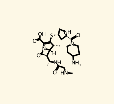 CNCC(=O)N[C@H](C)[C@H]1C(=O)N2C(C(=O)O)=C(S[C@@H]3CN[C@H](C(=O)N4CCC(N)CC4)C3)[C@H](C)[C@H]12